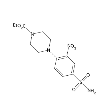 CCOC(=O)N1CCN(c2ccc(S(N)(=O)=O)cc2[N+](=O)[O-])CC1